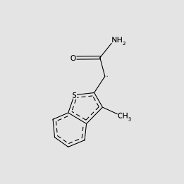 Cc1c([CH]C(N)=O)sc2ccccc12